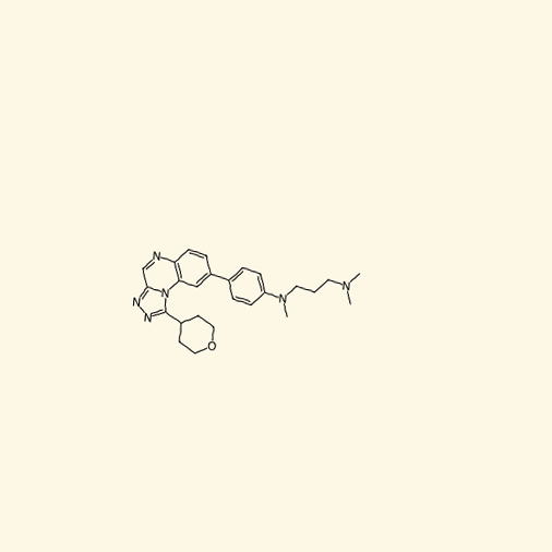 CN(C)CCCN(C)c1ccc(-c2ccc3ncc4nnc(C5CCOCC5)n4c3c2)cc1